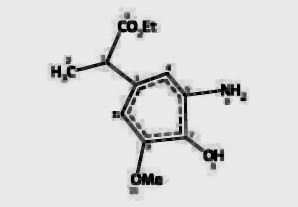 CCOC(=O)C(C)c1cc(N)c(O)c(OC)c1